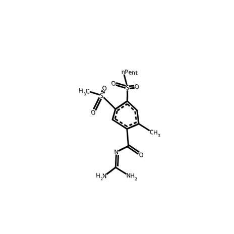 CCCCCS(=O)(=O)c1cc(C)c(C(=O)N=C(N)N)cc1S(C)(=O)=O